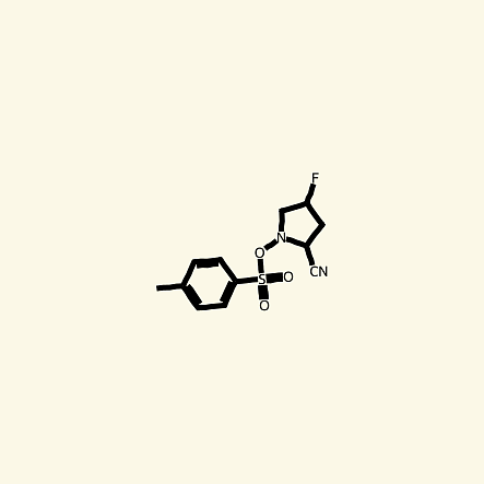 Cc1ccc(S(=O)(=O)ON2CC(F)CC2C#N)cc1